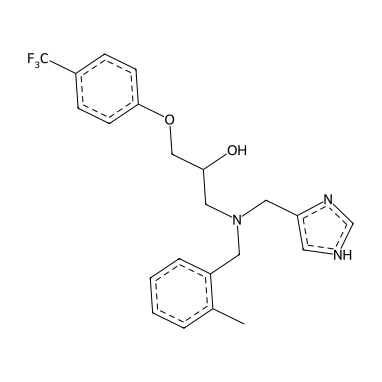 Cc1ccccc1CN(Cc1c[nH]cn1)CC(O)COc1ccc(C(F)(F)F)cc1